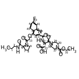 CCCNC(=O)[C@@H]1CCCN1C(=O)COc1cc(C(=O)N[C@@H](CC(=O)O)C(=O)N2CCN(C(=O)OCC)CC2)nc2cc(F)ccc12